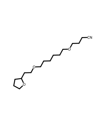 N#CCCCOCCCCCCOCCC1CCCO1